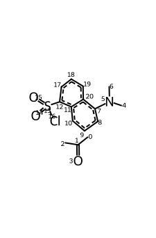 CC(C)=O.CN(C)c1cccc2c(S(=O)(=O)Cl)cccc12